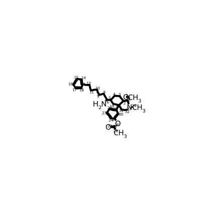 COC12CCC(C(N)CCCCCc3ccccc3)CC1(c1cccc(OC(C)=O)c1)CCN(C)C2